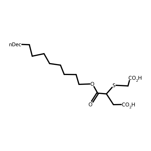 CCCCCCCCCCCCCCCCCCOC(=O)C(CC(=O)O)SCC(=O)O